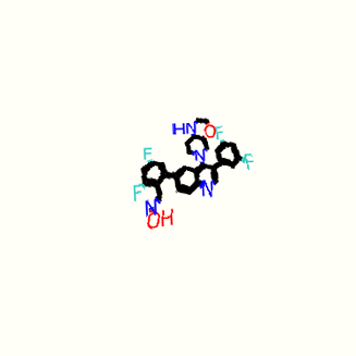 ON=Cc1c(F)cc(F)cc1-c1ccc2ncc(-c3cc(F)cc(F)c3)c(N3CCC4NCCOC4C3)c2c1